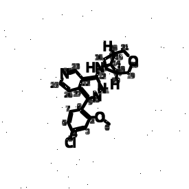 COc1cc(Cl)ccc1-c1nnc(NC2[C@@H]3CC[C@H]2COC3)c2cnccc12